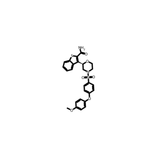 COc1ccc(Oc2ccc(S(=O)(=O)N3CCO[C@H](c4c(C(N)=O)sc5ccccc45)C3)cc2)cc1